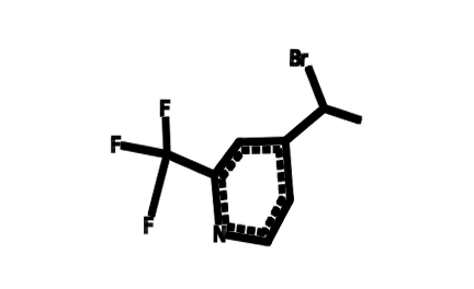 CC(Br)c1ccnc(C(F)(F)F)c1